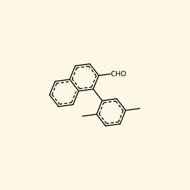 Cc1ccc(C)c(-c2c(C=O)ccc3ccccc23)c1